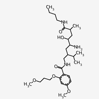 CCCCNC(=O)C(C)CC(O)C(N)CC(CNC(=O)c1ccc(OC)cc1OCCCOC)C(C)C